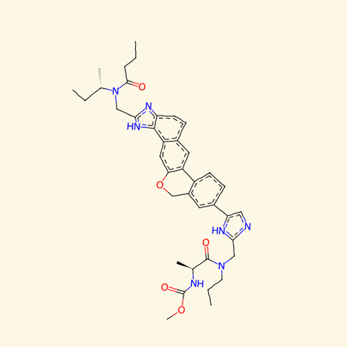 CCCC(=O)N(Cc1nc2ccc3cc4c(cc3c2[nH]1)OCc1cc(-c2cnc(CN(CCC)C(=O)[C@H](C)NC(=O)OC)[nH]2)ccc1-4)[C@@H](C)CC